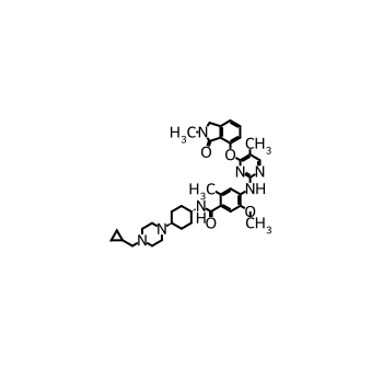 COc1cc(C(=O)N[C@H]2CC[C@H](N3CCN(CC4CC4)CC3)CC2)c(C)cc1Nc1ncc(C)c(Oc2cccc3c2C(=O)N(C)C3)n1